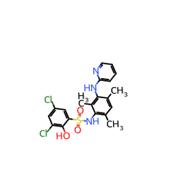 Cc1cc(C)c(NS(=O)(=O)c2cc(Cl)cc(Cl)c2O)c(C)c1Nc1ccccn1